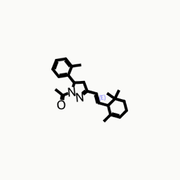 CC(=O)N1N=C(/C=C/C2C(C)=CCCC2(C)C)CC1c1ccccc1C